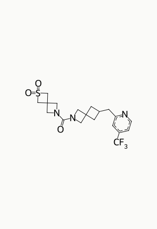 O=C(N1CC2(CC(Cc3cc(C(F)(F)F)ccn3)C2)C1)N1CC2(C1)CS(=O)(=O)C2